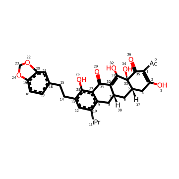 CC(=O)C1=C(O)C[C@@H]2C[C@@H]3Cc4c(C(C)C)cc(CCc5ccc6c(c5)OCO6)c(O)c4C(=O)C3=C(O)[C@]2(O)C1=O